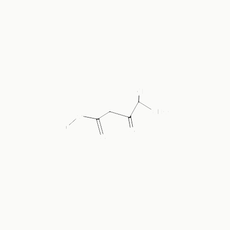 CCOC(=O)CC(=O)C(Cl)C=O